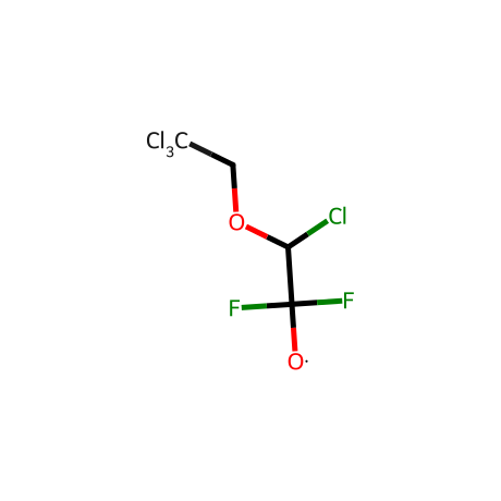 [O]C(F)(F)C(Cl)OCC(Cl)(Cl)Cl